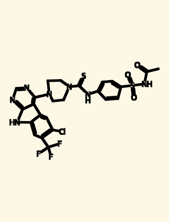 CC(=O)NS(=O)(=O)c1ccc(NC(=S)N2CCN(c3ncnc4[nH]c5cc(C(F)(F)F)c(Cl)cc5c34)CC2)cc1